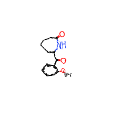 CC(C)Oc1ccccc1C(=O)C1CCCCC(=O)N1